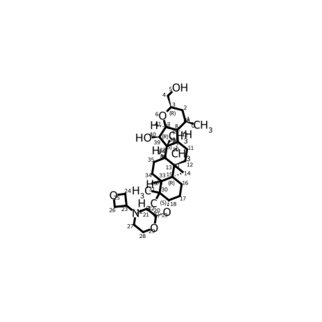 C[C@@H]1C[C@H](CO)O[C@H]2[C@@H]1[C@@]1(C)CC[C@@]34C[C@@]35CC[C@H](O[C@H]3CN(C6COC6)CCO3)C(C)(C)[C@@H]5CC[C@H]4[C@]1(C)[C@H]2O